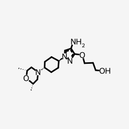 C[C@@H]1CN([C@H]2CC[C@H](n3cc(N)c(OCCCO)n3)CC2)C[C@H](C)O1